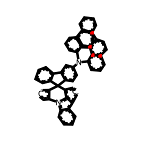 c1ccc(-c2ccccc2-c2ccccc2N(c2ccc3c(c2)-c2ccccc2C32c3ccccc3-n3c4ccccc4c4cccc2c43)c2ccccc2-c2ccccc2)cc1